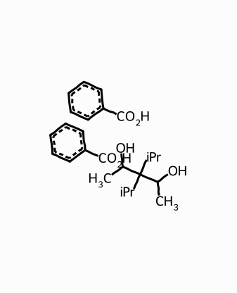 CC(C)C(C(C)C)(C(C)O)C(C)O.O=C(O)c1ccccc1.O=C(O)c1ccccc1